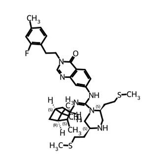 CSCC[C@H]1CN(C(=N[C@H]2C[C@@H]3C[C@H]([C@@H]2C)C3(C)C)Nc2ccc3c(=O)n(CCc4ccc(C)cc4F)cnc3c2)[C@@H](CCSC)CN1